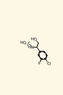 O=C(O)NC(CO)c1ccc(Cl)c(F)c1